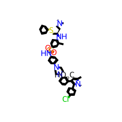 Cc1cc(S(=O)(=O)Nc2ccc(N3CCN(c4cccc(-c5c(C(=O)O)c(C)n(C)c5-c5ccc(Cl)cc5)c4)CC3)cc2)ccc1N[C@H](CCN(C)C)CSc1ccccc1